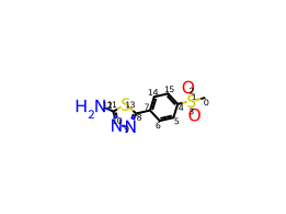 CS(=O)(=O)c1ccc(-c2nnc(N)s2)cc1